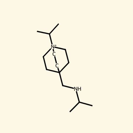 CC(C)NCC12CC[N+](C(C)C)(CC1)CC2